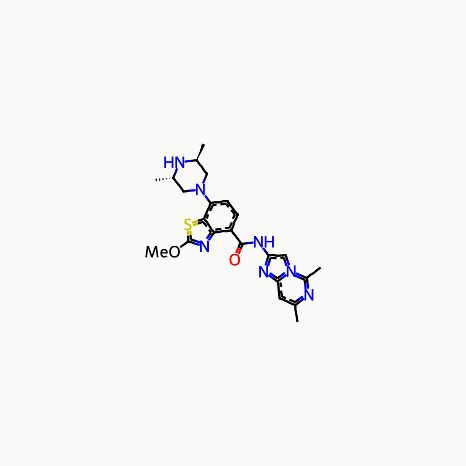 COc1nc2c(C(=O)Nc3cn4c(C)nc(C)cc4n3)ccc(N3C[C@H](C)N[C@@H](C)C3)c2s1